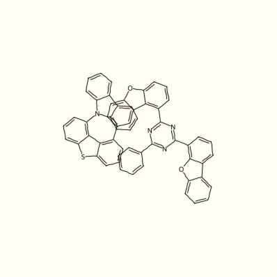 c1ccc(-c2nc(-c3cccc4c3oc3ccccc34)nc(-c3cccc4oc5ccc(-c6cccc7sc8cccc(-n9c%10ccccc%10c%10ccccc%109)c8c67)cc5c34)n2)cc1